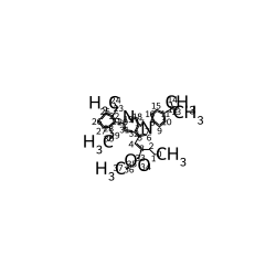 CCC/C(=C\c1cn(-c2ccc(C(C)C)cc2)c2cnc(-c3c(CC)cccc3CC)cc12)C(=O)OCC